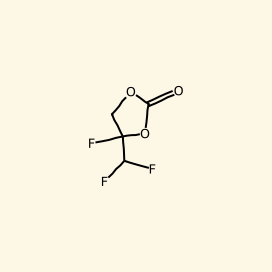 O=C1OCC(F)(C(F)F)O1